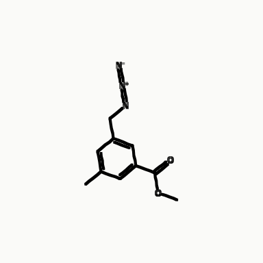 COC(=O)c1cc(C)cc(CN=[N+]=[N-])c1